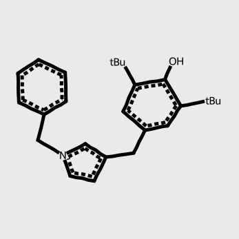 CC(C)(C)c1cc(Cc2ccn(Cc3ccccc3)c2)cc(C(C)(C)C)c1O